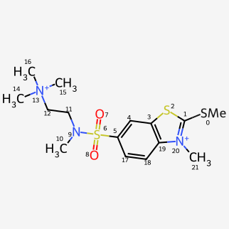 CSc1sc2cc(S(=O)(=O)N(C)CC[N+](C)(C)C)ccc2[n+]1C